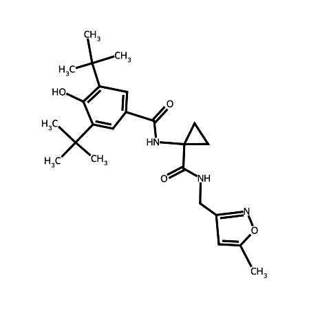 Cc1cc(CNC(=O)C2(NC(=O)c3cc(C(C)(C)C)c(O)c(C(C)(C)C)c3)CC2)no1